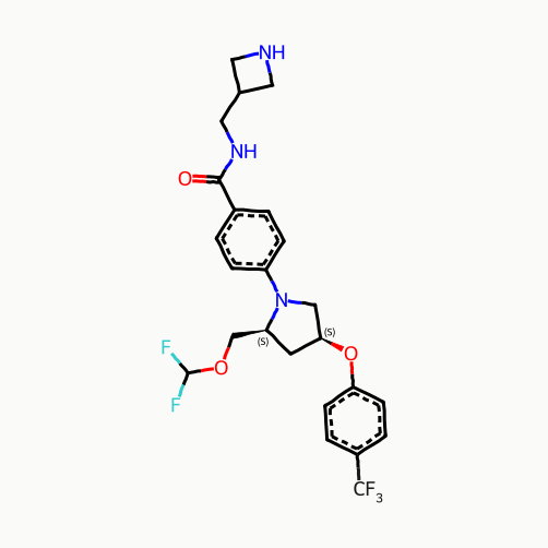 O=C(NCC1CNC1)c1ccc(N2C[C@@H](Oc3ccc(C(F)(F)F)cc3)C[C@H]2COC(F)F)cc1